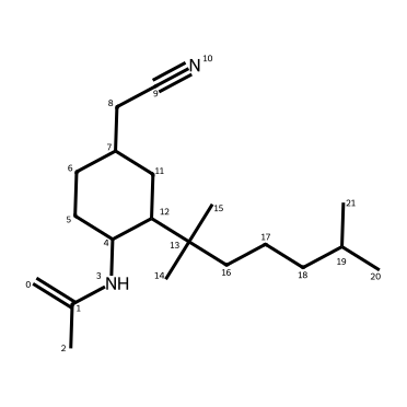 C=C(C)NC1CCC(CC#N)CC1C(C)(C)CCCC(C)C